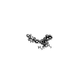 CCOC(=O)CCC(=O)Nc1ccc(SC[C@@H](CCC(C)C)C(=O)N(O)C(=O)N[C@@H](Cc2ccccc2)C(=O)NC)cc1